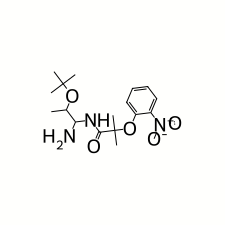 CC(OC(C)(C)C)C(N)NC(=O)C(C)(C)Oc1ccccc1[N+](=O)[O-]